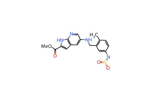 COC(=O)c1cc2cc(NCc3cc(N=S(=O)=O)ccc3C)cnc2[nH]1